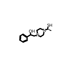 C[C@H](S)N1CCN(CC(O)c2ccccc2)CC1